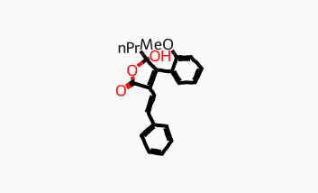 CCCC1(O)OC(=O)C(/C=C/c2ccccc2)=C1c1ccccc1OC